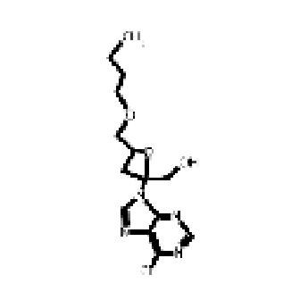 CCCCOCC1C[C@@](CO)(n2cnc3c(Cl)ncnc32)O1